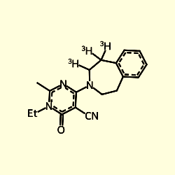 [3H]C1N(c2nc(C)n(CC)c(=O)c2C#N)CCc2ccccc2C1([3H])[3H]